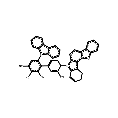 N#CC1=CC(c2c(-n3c4ccccc4c4ccccc43)cc(C#N)c(C#N)c2C#N)=CCC1n1c2c(c3c4oc5ccccc5c4ccc31)CCC=C2